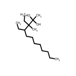 CCCCCCCCC(CC)C(C)(CC)C(C)(O)O